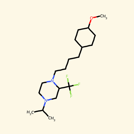 COC1CCC(CCCCN2CCN(C(C)C)CC2C(F)(F)F)CC1